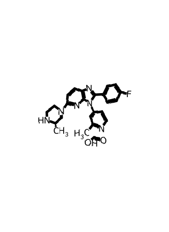 Cc1cc(-n2c(-c3ccc(F)cc3)nc3ccc(N4CCN[C@H](C)C4)nc32)ccn1.O=CO